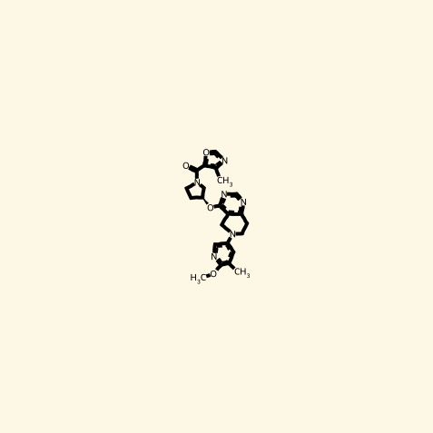 COc1ncc(N2CCc3ncnc(O[C@H]4CCN(C(=O)c5ocnc5C)C4)c3C2)cc1C